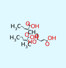 CCC=C(C)C(=O)O.CCC=C(C)C(=O)O.O=C(O)C=CC(=O)O